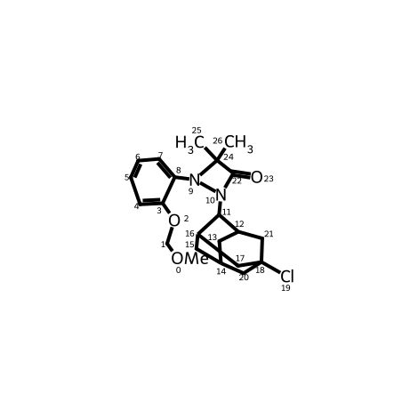 COCOc1ccccc1N1N(C2C3CC4CC2CC(Cl)(C4)C3)C(=O)C1(C)C